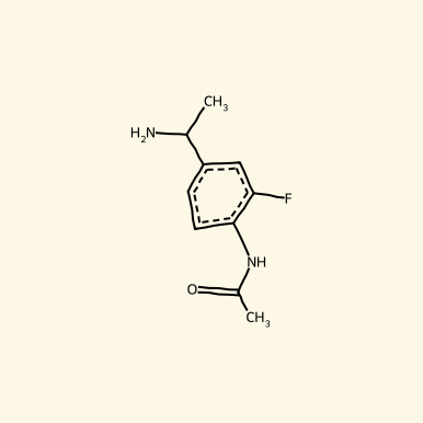 CC(=O)Nc1ccc(C(C)N)cc1F